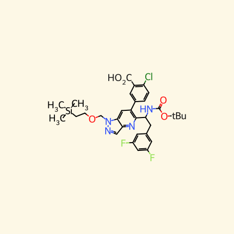 CC(C)(C)OC(=O)NC(Cc1cc(F)cc(F)c1)c1nc2cnn(COCC[Si](C)(C)C)c2cc1-c1ccc(Cl)c(C(=O)O)c1